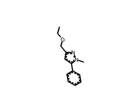 CCOCc1cc(-c2ccccc2)n(C)n1